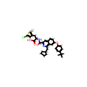 CC(C)(C)c1ccc(Oc2ccc3cc(C(=O)NC(Cc4cc(Cl)sc4Cl)C(=O)O)nc(CC4CCCC4)c3c2)cc1